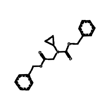 O=C(CN(C(=O)OCc1ccccc1)C1CC1)OCc1ccccc1